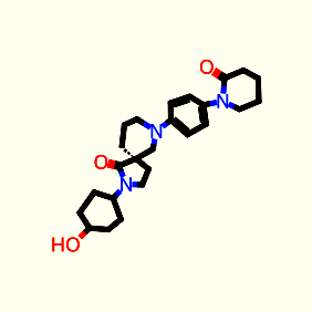 O=C1CCCCN1c1ccc(N2CCC[C@@]3(CCN(C4CCC(O)CC4)C3=O)C2)cc1